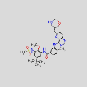 COc1c(NC(=O)c2ccc(C)c(Nc3ncnc4ccc(CC5CNCCOC5)nc34)c2)cc(C(C)(C)C)cc1NS(C)(=O)=O